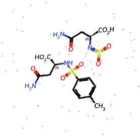 Cc1ccc(S(=O)(=O)N[C@@H](CC(N)=O)C(=O)O)cc1.NC(=O)C[C@H](N=S(=O)=O)C(=O)O